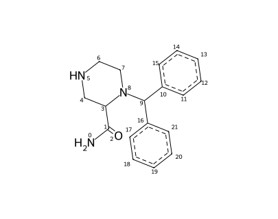 NC(=O)C1CNCCN1C(c1ccccc1)c1ccccc1